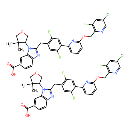 CC1(C)COCC1n1c(Cc2cc(F)c(-c3cccc(OCc4ncc(Cl)cc4F)n3)cc2F)nc2ccc(C(=O)O)cc21.CC1(C)COCC1n1c(Cc2cc(F)c(-c3cccc(OCc4ncc(Cl)cc4F)n3)cc2F)nc2ccc(C(=O)O)cc21